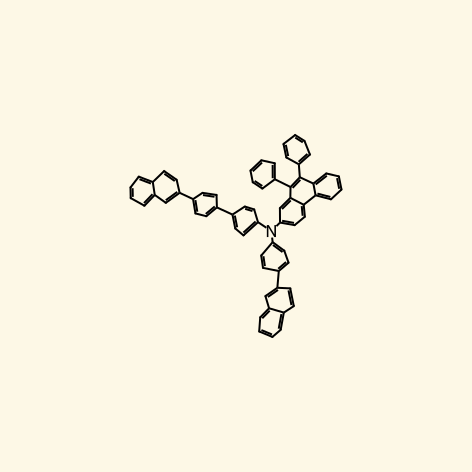 c1ccc(-c2c(-c3ccccc3)c3cc(N(c4ccc(-c5ccc(-c6ccc7ccccc7c6)cc5)cc4)c4ccc(-c5ccc6ccccc6c5)cc4)ccc3c3ccccc23)cc1